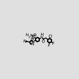 N#Cc1cnn(-c2ccc(NC(=O)Cc3cc(F)c(F)cc3Cl)cc2S(N)(=O)=O)c1